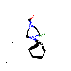 Cl.O=CN1CCN(c2ccccc2)CC1